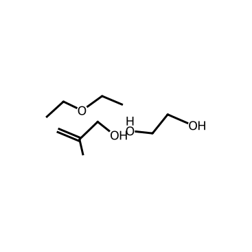 C=C(C)CO.CCOCC.OCCO